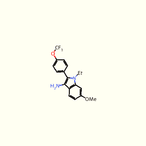 CCn1c(-c2ccc(OC(F)(F)F)cc2)c(N)c2ccc(OC)cc21